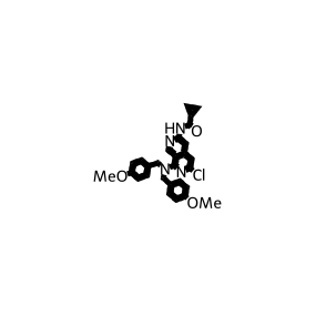 COc1ccc(CN(Cc2ccc(OC)cc2)c2nc(Cl)cc3cc(NC(=O)C4CC4)ncc23)cc1